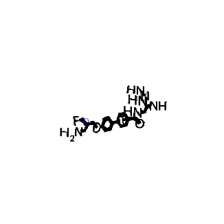 N=NNC(=N)CNC(=O)C12CCC(c3ccc(OC/C(=C/F)CN)cc3)(CC1)CC2